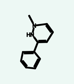 CN1C=CC=C(c2ccccc2)N1